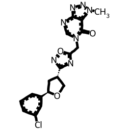 Cn1nnc2ncn(Cc3nc([C@@H]4CO[C@@H](c5cccc(Cl)c5)C4)no3)c(=O)c21